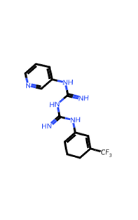 N=C(NC(=N)Nc1cccnc1)NC1=CCCC(C(F)(F)F)=C1